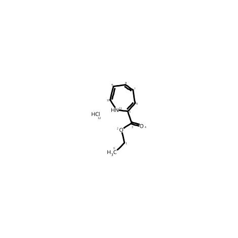 CCOC(=O)C1=CC=CC=CN1.Cl